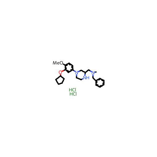 COc1ccc(N2CCNC(CN(C)Cc3ccccc3)C2)cc1OC1CCCC1.Cl.Cl